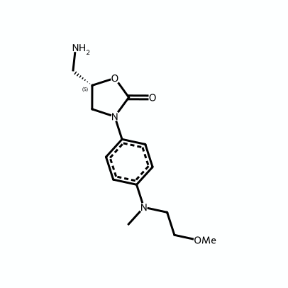 COCCN(C)c1ccc(N2C[C@H](CN)OC2=O)cc1